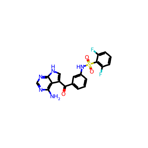 Nc1ncnc2[nH]cc(C(=O)c3cccc(NS(=O)(=O)c4c(F)cccc4F)c3)c12